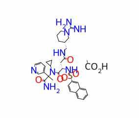 CC(=O)O.CC(C(N)=O)(c1cccnc1)N(C(=O)[C@H](CC(=O)NC[C@@H]1CCCN(C(=N)N)C1)NS(=O)(=O)c1ccc2ccccc2c1)C1CC1